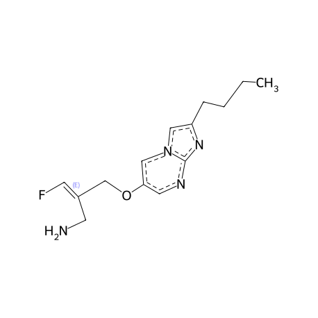 CCCCc1cn2cc(OC/C(=C/F)CN)cnc2n1